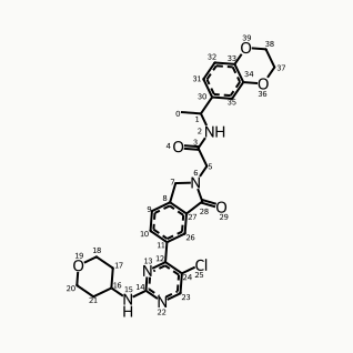 CC(NC(=O)CN1Cc2ccc(-c3nc(NC4CCOCC4)ncc3Cl)cc2C1=O)c1ccc2c(c1)OCCO2